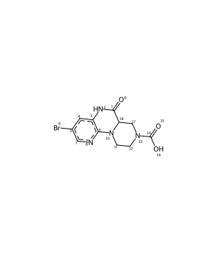 O=C1Nc2cc(Br)cnc2N2CCN(C(=O)O)CC12